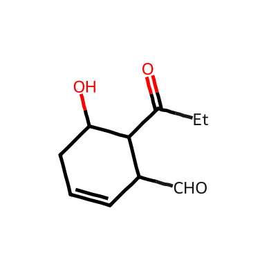 CCC(=O)C1C(C=O)C=CCC1O